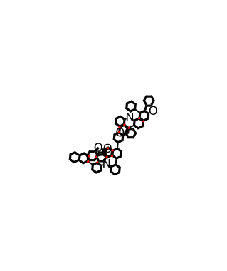 c1cc(-c2ccc3ccccc3c2)cc(N(c2ccccc2-c2ccc(-c3ccc4ccc(-c5ccccc5N(c5ccccc5-c5cccc6oc7ccccc7c56)c5cccc6oc7ccccc7c56)cc4c3)c3oc4ccccc4c23)c2cccc3oc4ccccc4c23)c1